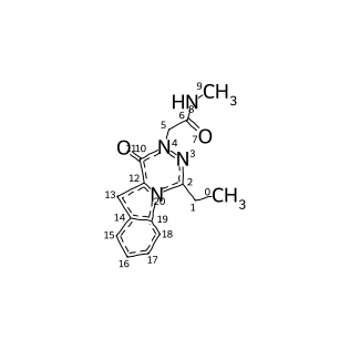 CCc1nn(CC(=O)NC)c(=O)c2cc3ccccc3n12